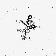 Cc1ccc(O)c(C)c1CC(NC(=O)C(CCCCN)NC(=O)C(N)Cc1ccccc1)C(=O)NC(CCCNC(=N)N)C(=O)O